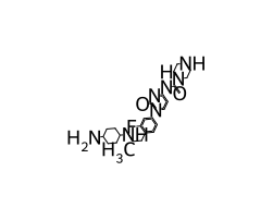 CC(Cc1ccc(-n2ccc(NC(=O)N3CCNCC3)nc2=O)cc1F)NC1CCC(N)CC1